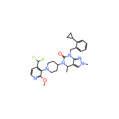 COc1nccc(C(F)F)c1N1CCC(N2C(=O)N(Cc3ccccc3C3CC3)c3nn(C)cc3C2C)CC1